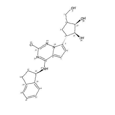 OCC1C[C@@H](c2ccc3c(N[C@@H]4CCc5ccccc54)nc(Cl)nn23)[C@H](O)[C@@H]1O